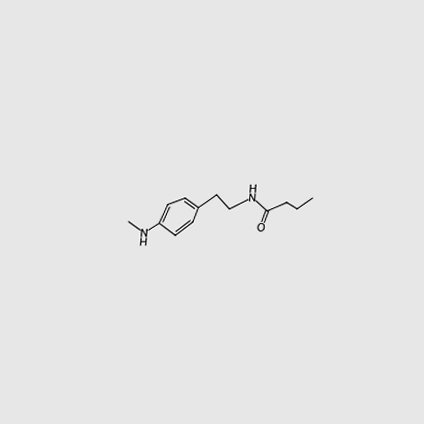 CCCC(=O)NCCc1ccc(NC)cc1